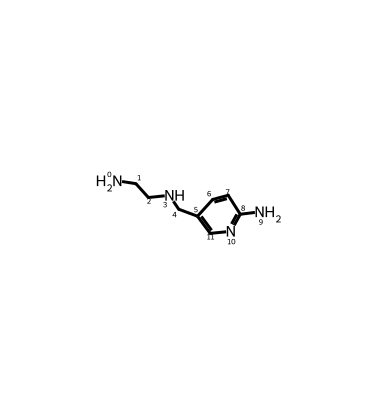 NCCNCc1ccc(N)nc1